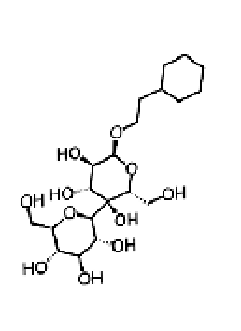 OC[C@H]1O[C@@H]([C@]2(O)[C@H](O)[C@@H](O)[C@@H](OCCC3CCCCC3)O[C@@H]2CO)[C@H](O)[C@@H](O)[C@@H]1O